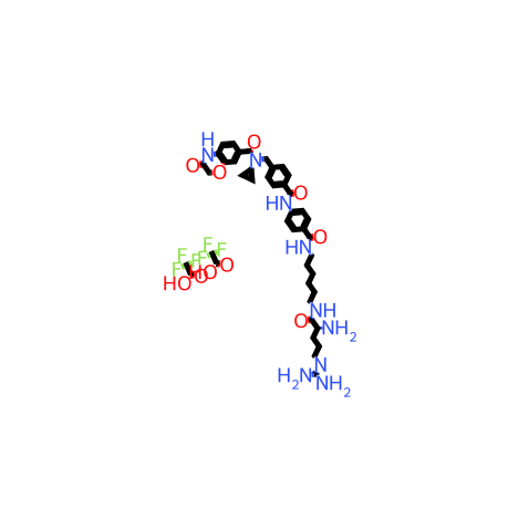 NC(N)=NCCC[C@H](N)C(=O)NCCCCCCNC(=O)c1ccc(NC(=O)c2ccc(CN(C(=O)c3ccc4c(c3)OCC(=O)N4)C3CC3)cc2)cc1.O=C(O)C(F)(F)F.O=C(O)C(F)(F)F